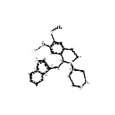 COc1cc2c(cc1OC)C(Cc1c[nH]c3ccccc13)N(N1CCOCC1)CC2